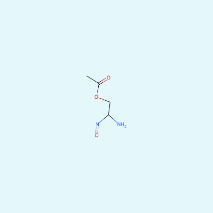 CC(=O)OCC(N)N=O